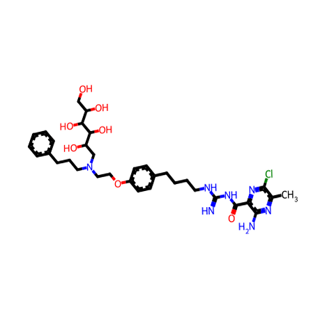 Cc1nc(N)c(C(=O)NC(=N)NCCCCc2ccc(OCCN(CCCc3ccccc3)CC(O)C(O)C(O)C(O)CO)cc2)nc1Cl